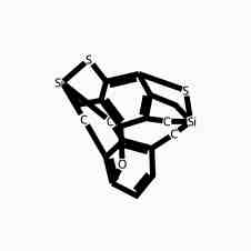 c1cc2c3c4c1C[Si]15Cc6c(c(c7c(c6O2)C[Si](C4)(C3)S7)S1)C5